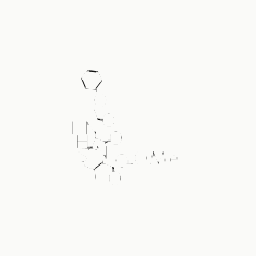 COCOC(=O)C1=C(C)CS[C@@H]2C(NC(=O)COc3ccccc3)C(=O)N12